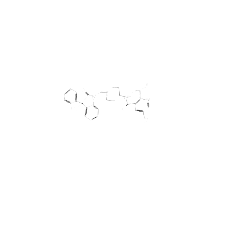 O=C(NC1CCC(CN2C(=O)C(O)(c3ccccc3)c3ccccc32)CC1)c1cc(Cl)cnc1C(F)F